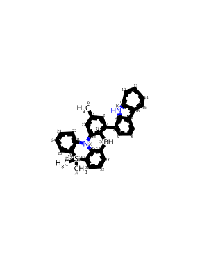 Cc1cc(-c2cccc3c2[nH]c2ccccc23)c2c(c1)N1c3ccccc3[Si](C)(C)c3cccc(c31)B2